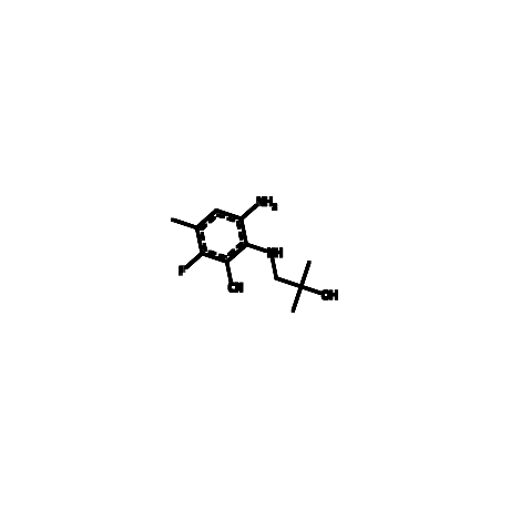 Cc1cc(N)c(NCC(C)(C)O)c(C#N)c1F